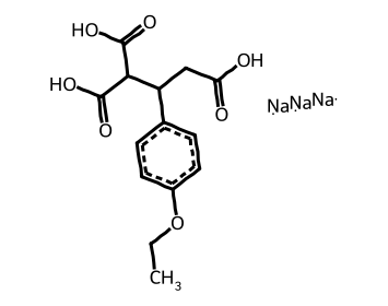 CCOc1ccc(C(CC(=O)O)C(C(=O)O)C(=O)O)cc1.[Na].[Na].[Na]